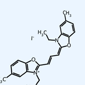 CCN1C(=CC=Cc2oc3ccc(C)cc3[n+]2CC)Oc2ccc(C)cc21.[I-]